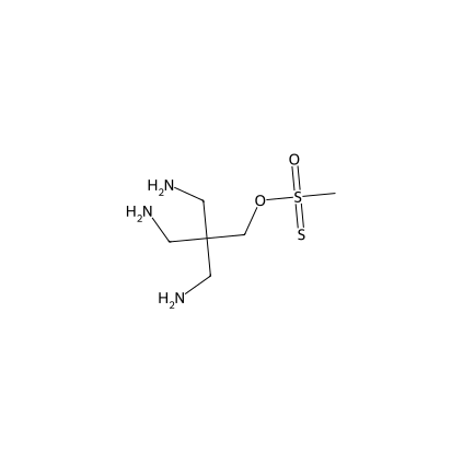 CS(=O)(=S)OCC(CN)(CN)CN